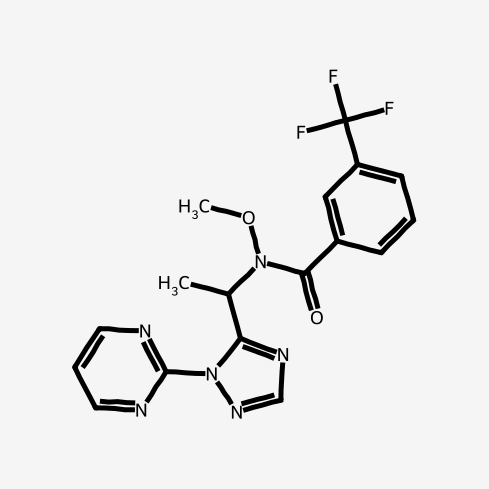 CON(C(=O)c1cccc(C(F)(F)F)c1)C(C)c1ncnn1-c1ncccn1